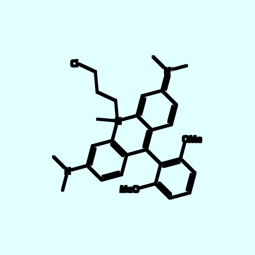 COc1cccc(OC)c1C1=C2C=CC(=[N+](C)C)C=C2[Si](C)(CCCCl)c2cc(N(C)C)ccc21